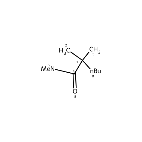 CCCCC(C)(C)C(=O)NC